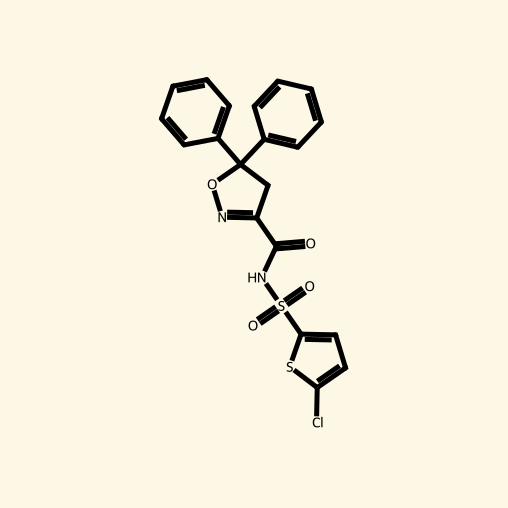 O=C(NS(=O)(=O)c1ccc(Cl)s1)C1=NOC(c2ccccc2)(c2ccccc2)C1